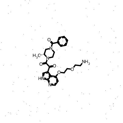 C[C@@H]1CN(C(=O)c2ccccc2)CCN1C(=O)C(=O)c1c[nH]c2nccc(OCCOCCN)c12